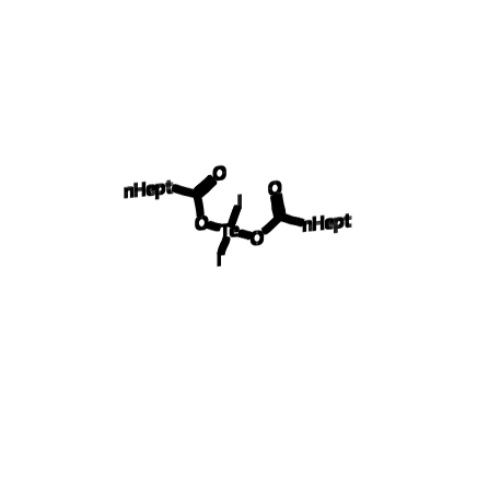 CCCCCCCC(=O)O[Te](I)(I)OC(=O)CCCCCCC